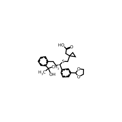 CC(C)(O)c1ccccc1CC[C@@H](SCC1(CC(=O)O)CC1)c1cccc(C2OCCO2)c1